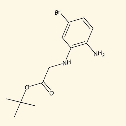 CC(C)(C)OC(=O)CNc1cc(Br)ccc1N